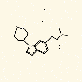 CN(C)CCc1ccc2ccn(C3CCOCC3)c2c1